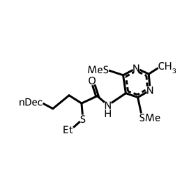 CCCCCCCCCCCCC(SCC)C(=O)Nc1c(SC)nc(C)nc1SC